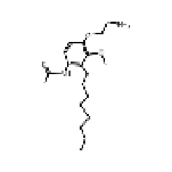 CCCCCCCCc1c(NC(C)=O)ccc(OCCN)c1OC